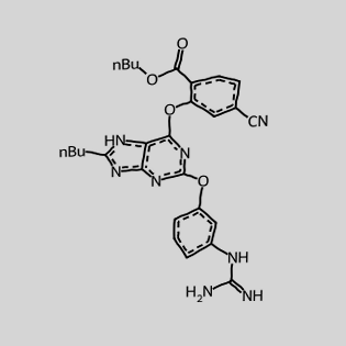 CCCCOC(=O)c1ccc(C#N)cc1Oc1nc(Oc2cccc(NC(=N)N)c2)nc2nc(CCCC)[nH]c12